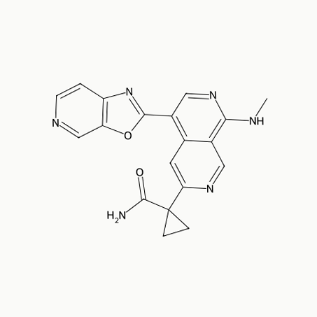 CNc1ncc(-c2nc3ccncc3o2)c2cc(C3(C(N)=O)CC3)ncc12